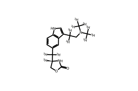 [2H]C([2H])(CN(C([2H])([2H])[2H])C([2H])([2H])[2H])c1c[nH]c2ccc(C([2H])([2H])[C@@]3([2H])COC(=O)N3)cc12